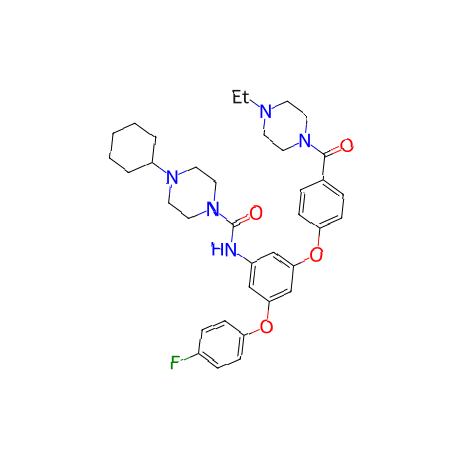 CCN1CCN(C(=O)c2ccc(Oc3cc(NC(=O)N4CCN(C5CCCCC5)CC4)cc(Oc4ccc(F)cc4)c3)cc2)CC1